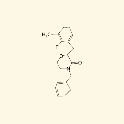 Cc1cccc(CC2OCCN(Cc3ccccc3)C2=O)c1F